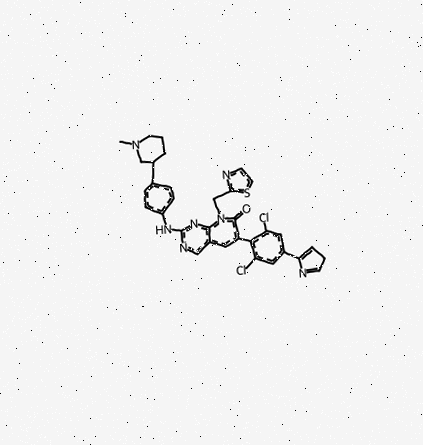 CN1CCCC(c2ccc(Nc3ncc4cc(-c5c(Cl)cc(C6=CCC=N6)cc5Cl)c(=O)n(Cc5nccs5)c4n3)cc2)C1